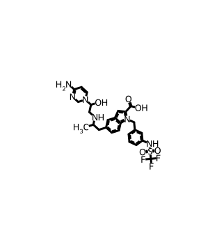 CC(Cc1ccc2c(c1)cc(C(=O)O)n2Cc1cccc(NS(=O)(=O)C(F)(F)F)c1)NCC(O)N1C=CC(N)=NC1